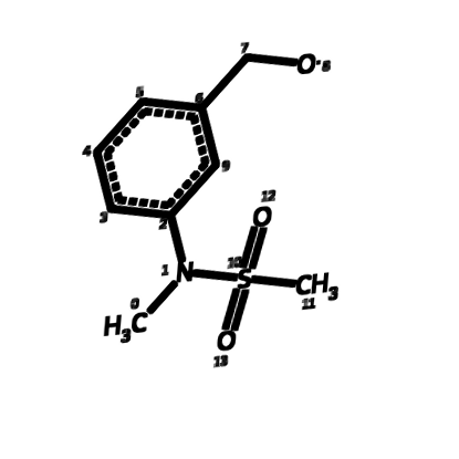 CN(c1cccc(C[O])c1)S(C)(=O)=O